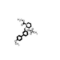 COC(=O)N1CCC[C@H](NS(C)(=O)=O)[C@@H]1Cc1cccc(-c2ccc(OC)cc2)c1